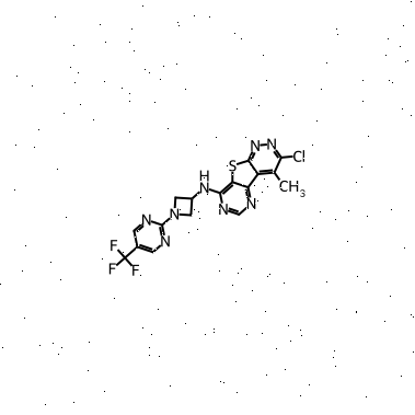 Cc1c(Cl)nnc2sc3c(NC4CN(c5ncc(C(F)(F)F)cn5)C4)ncnc3c12